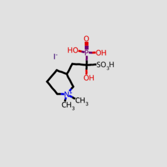 C[N+]1(C)CCCC(CC(O)(P(=O)(O)O)S(=O)(=O)O)C1.[I-]